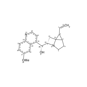 C=CC1C2CCN3[C@H]([C@H](O)c4ccnc5ccc(OC)cc45)CC123